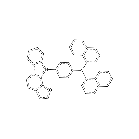 c1ccc2c(N(c3ccc(-n4c5ccccc5c5ccc6ccoc6c54)cc3)c3cccc4ccccc34)cccc2c1